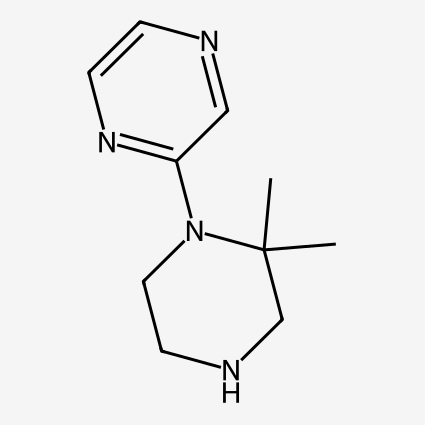 CC1(C)CNCCN1c1cnccn1